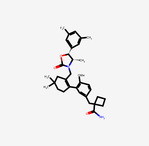 COc1ccc(CC2(C(N)=O)CCC2)cc1C1=C(CN2C(=O)O[C@H](c3cc(C)cc(C(F)(F)F)c3)[C@@H]2C)CC(C)(C)CC1